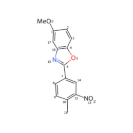 COc1ccc2oc(-c3ccc(C)c([N+](=O)[O-])c3)nc2c1